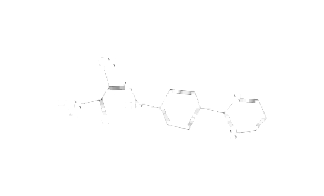 N#CC(=NNc1ccc(-c2ncccn2)cc1)C(N)=O